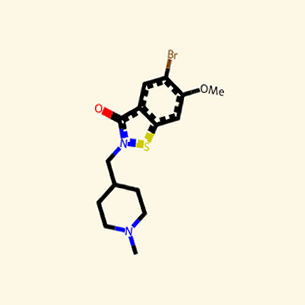 COc1cc2sn(CC3CCN(C)CC3)c(=O)c2cc1Br